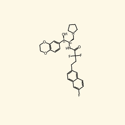 O=C(N[C@H](CN1CCCC1)[C@H](O)c1ccc2c(c1)OCCO2)C(F)(F)CCc1ccc2cc(F)ccc2c1